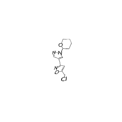 ClCc1cc(-c2cnn(C3CCCCO3)c2)no1